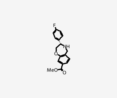 COC(=O)c1ccc2c(c1)OC[C@H](c1ccc(F)cc1)NC2